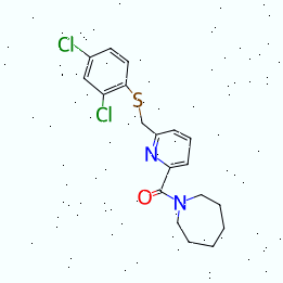 O=C(c1cccc(CSc2ccc(Cl)cc2Cl)n1)N1CCCCCC1